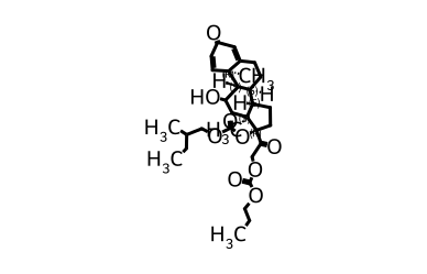 CCCOC(=O)OCC(=O)[C@@]1(OC(=O)OCC(C)CC)CC[C@H]2[C@@H]3CCC4=CC(=O)C=C[C@]4(C)[C@H]3C(O)C[C@@]21C